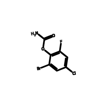 NC(=O)Oc1c(F)cc(Cl)cc1Br